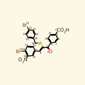 O=C(O)c1ccc(C(=O)C(=Cc2ccc(Br)c([N+](=O)[O-])c2)SCc2ccc(Br)cc2)cc1